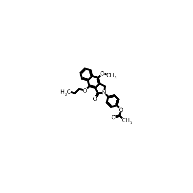 CCCOc1c2c(c(OC)c3ccccc13)CN(c1ccc(OC(C)=O)cc1)C2=O